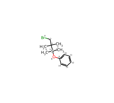 CC(C)(CBr)[Si](C)(C)Oc1ccccc1